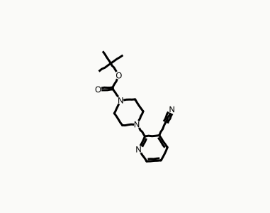 CC(C)(C)OC(=O)N1CCN(c2ncccc2C#N)CC1